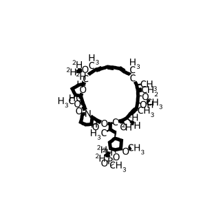 [2H]C([2H])([2H])O[C@H]1C[C@@H]2CC[C@@H](C)[C@@](O)(O2)C(=O)C(=O)N2CCCC[C@H]2C(=O)O[C@H]([C@H](C)C[C@@H]2CC[C@@H](OP(C)(=O)C([2H])([2H])[2H])[C@H](OC)C2)CC(=O)[C@H](C([2H])([2H])[2H])/C=C(\C)[C@@H](O)[C@@H](OC)C(=C)[C@H](C)C[C@H](C)/C=C/C=C/C=C/1C